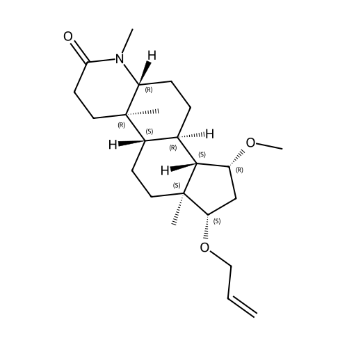 C=CCO[C@H]1C[C@@H](OC)[C@H]2[C@@H]3CC[C@H]4N(C)C(=O)CC[C@]4(C)[C@H]3CC[C@@]21C